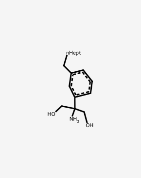 CCCCCCCCc1cccc(C(N)(CO)CO)c1